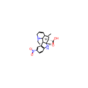 CC[C@]12C=CCN3CC[C@]4(c5cc([N+](=O)[O-])ccc5N[C@H]4[C@@H](C(=O)O)C1)[C@@H]32